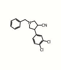 N#CC1CN(Cc2ccccc2)CC1c1ccc(Cl)c(Cl)c1